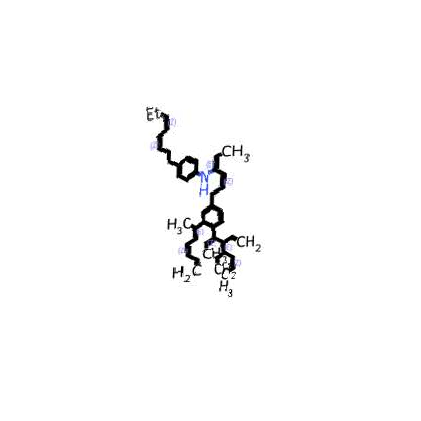 C=C/C=C\C=C(/C)c1cc(C/C=C\C(=C/C)Nc2ccc(CC/C=C\C=C/CC)cc2)ccc1C(=C/C)/C(C=C)=C(C=C)/C=C\C